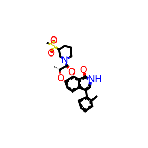 Cc1ccccc1-c1c[nH]c(=O)c2cc(O[C@H](C)C(=O)N3CCCC(S(C)(=O)=O)C3)ccc12